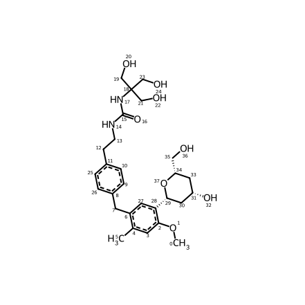 COc1cc(C)c(Cc2ccc(CCNC(=O)NC(CO)(CO)CO)cc2)cc1[C@H]1C[C@@H](O)C[C@@H](CO)O1